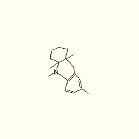 Cc1ccc2c(c1)CC1(C)CCCCC1(C)N2C